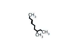 CC/C=C/CCC(C)CC